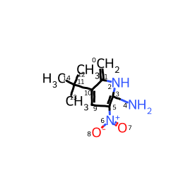 C=C1NC(N)=C([N+](=O)[O-])C=C1C(C)(C)C